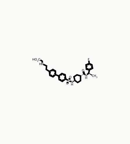 C[C@@H](NC(=O)[C@H]1CC[C@H](NS(=O)(=O)c2ccc(-c3ccc(CCNCC(=O)O)cc3)cc2)CC1)c1ccc(F)cc1